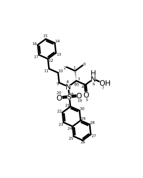 CC(C)[C@H](C(=O)NO)N(CCCc1ccccc1)S(=O)(=O)c1ccc2ccccc2c1